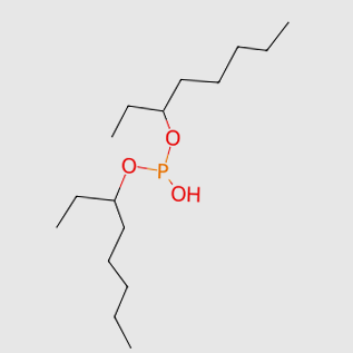 CCCCCC(CC)OP(O)OC(CC)CCCCC